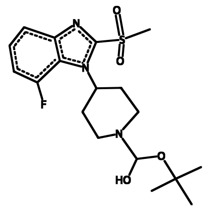 CC(C)(C)OC(O)N1CCC(n2c(S(C)(=O)=O)nc3cccc(F)c32)CC1